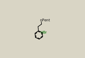 Br.CCCCCCCc1ccccc1